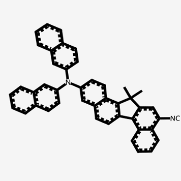 [C-]#[N+]c1cc2c(c3ccccc13)-c1ccc3cc(N(c4ccc5ccccc5c4)c4ccc5ccccc5c4)ccc3c1C2(C)C